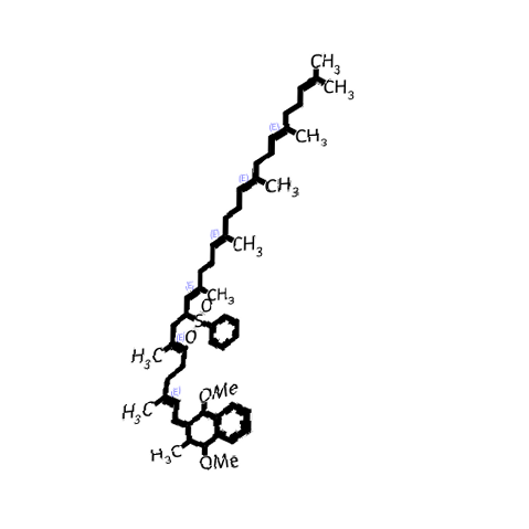 COC1c2ccccc2C(OC)C(C/C=C(\C)CC/C=C(\C)CC(/C=C(\C)CC/C=C(\C)CC/C=C(\C)CC/C=C(\C)CCC=C(C)C)S(=O)(=O)c2ccccc2)C1C